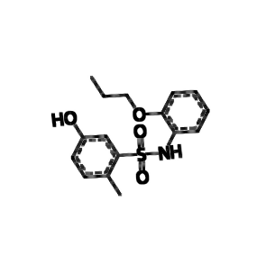 CCCOc1ccccc1NS(=O)(=O)c1cc(O)ccc1C